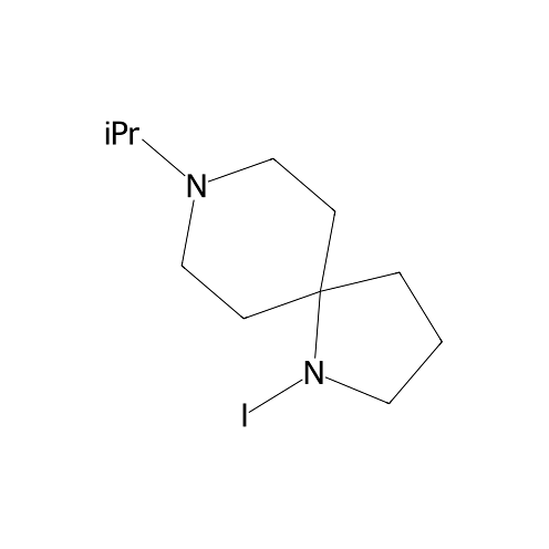 CC(C)N1CCC2(CCCN2I)CC1